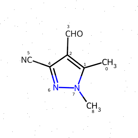 Cc1c(C=O)c(C#N)nn1C